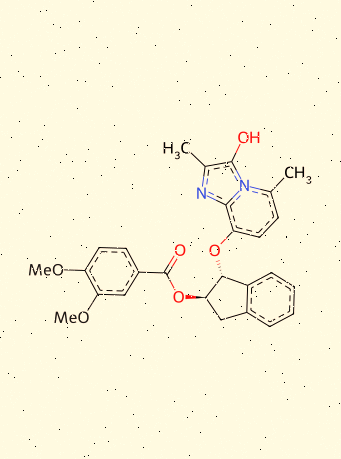 COc1ccc(C(=O)O[C@@H]2Cc3ccccc3[C@H]2Oc2ccc(C)n3c(O)c(C)nc23)cc1OC